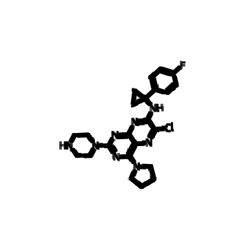 Fc1ccc(C2(Nc3nc4nc(N5CCNCC5)nc(N5CCCC5)c4nc3Cl)CC2)cc1